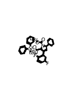 CC(C)(C)OC(=O)N1C(CO[Si](c2ccccc2)(c2ccccc2)C(C)(C)C)C(c2cc(F)ccc2F)=CC1c1ccccc1